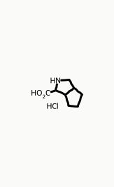 Cl.O=C(O)C1NCC2CCCC21